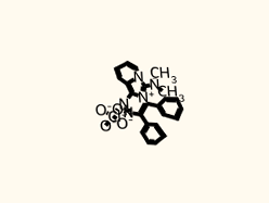 CN(C)c1n2ccccc2c2nnc(-c3ccccc3)c(-c3ccccc3)[n+]12.[O-][Cl+3]([O-])([O-])[O-]